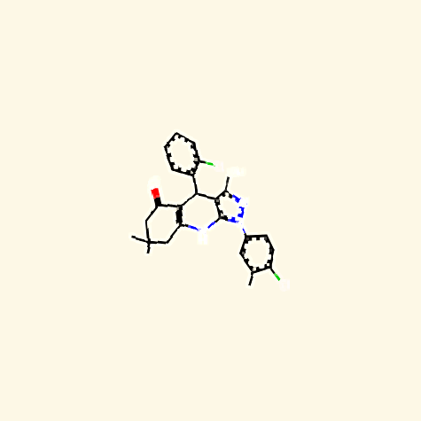 Cc1cc(-n2nc(C(C)(C)C)c3c2NC2=C(C(=O)CC(C)(C)C2)C3c2ccccc2Cl)ccc1Cl